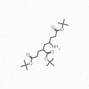 CC(C)(C)OC(=O)CCC(N)CC(CCC(=O)OC(C)(C)C)C(=O)OC(C)(C)C